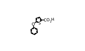 O=C(O)c1ccc(Oc2ccccc2)s1